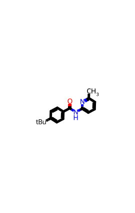 Cc1cccc(NC(=O)c2ccc(C(C)(C)C)cc2)n1